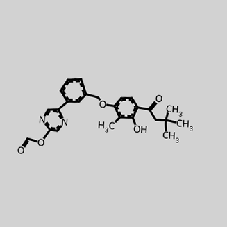 Cc1c(OCc2cccc(-c3cnc(OC=O)cn3)c2)ccc(C(=O)CC(C)(C)C)c1O